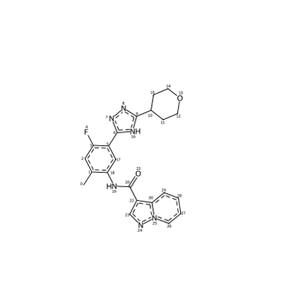 Cc1cc(F)c(-c2nnc(C3CCOCC3)[nH]2)cc1NC(=O)c1cnn2ccccc12